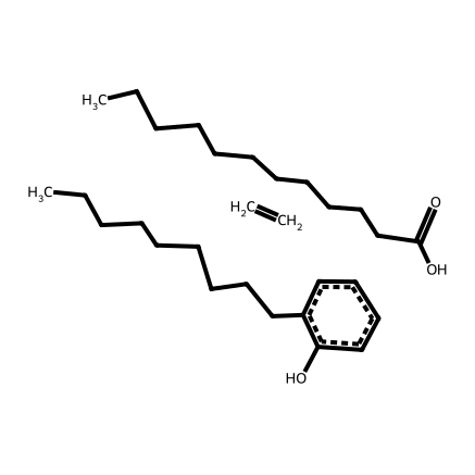 C=C.CCCCCCCCCCCC(=O)O.CCCCCCCCCc1ccccc1O